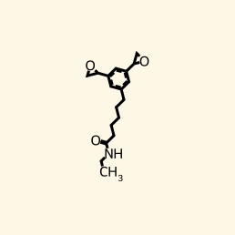 CCNC(=O)CCCCCc1cc(C2CO2)cc(C2CO2)c1